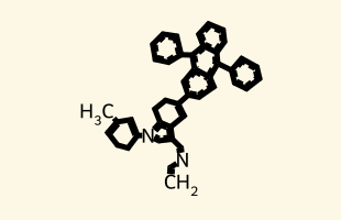 C=C/N=C\c1cn(C2=CC(C)=CCC2)c2c1C=C(c1ccc3c(-c4ccccc4)c4ccccc4c(-c4ccccc4)c3c1)CC2